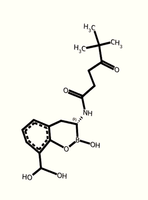 CC(C)(C)C(=O)CCC(=O)N[C@H]1Cc2cccc(C(O)O)c2OB1O